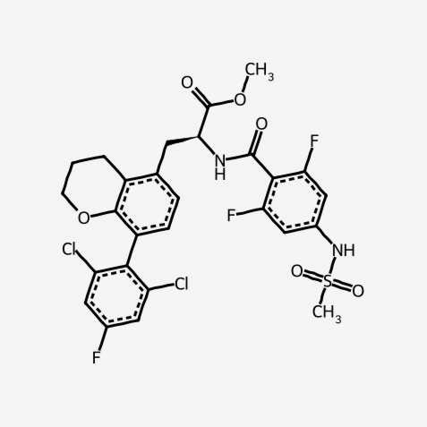 COC(=O)[C@H](Cc1ccc(-c2c(Cl)cc(F)cc2Cl)c2c1CCCO2)NC(=O)c1c(F)cc(NS(C)(=O)=O)cc1F